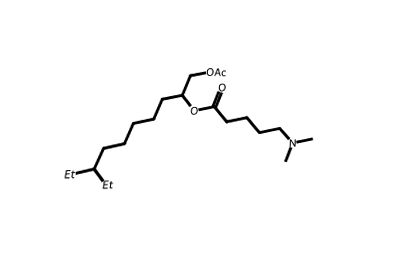 CCC(CC)CCCCCC(COC(C)=O)OC(=O)CCCCN(C)C